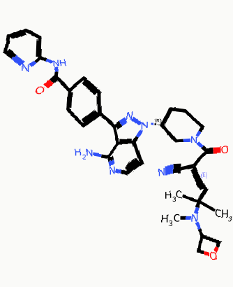 CN(C1COC1)C(C)(C)/C=C(\C#N)C(=O)N1CCC[C@@H](n2nc(-c3ccc(C(=O)Nc4ccccn4)cc3)c3c(N)nccc32)C1